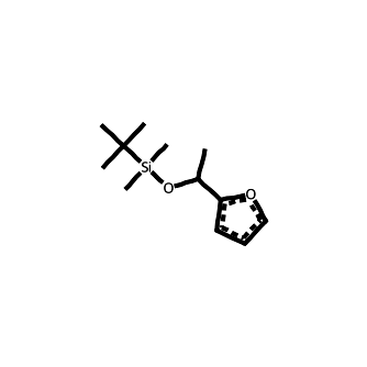 CC(O[Si](C)(C)C(C)(C)C)c1ccco1